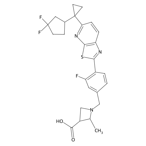 CC1C(C(=O)O)CN1Cc1ccc(-c2nc3ccc(C4(C5CCC(F)(F)C5)CC4)nc3s2)c(F)c1